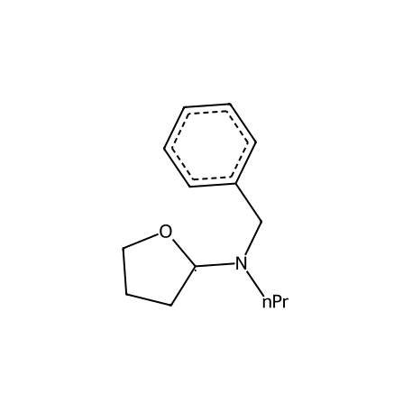 CCCN(Cc1ccccc1)[C]1CCCO1